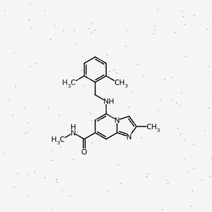 CNC(=O)c1cc(NCc2c(C)cccc2C)n2cc(C)nc2c1